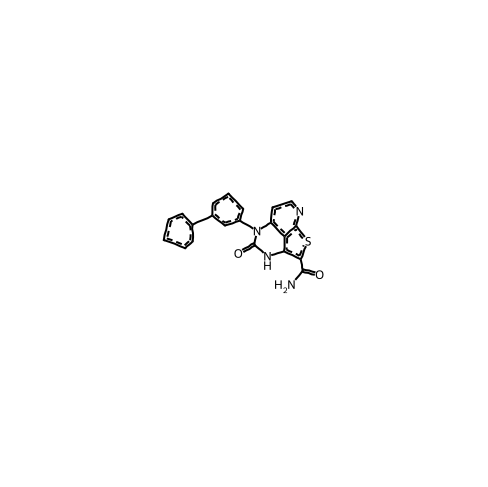 NC(=O)c1sc2nccc3c2c1NC(=O)N3c1cccc(-c2ccccc2)c1